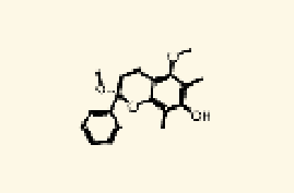 COc1c(C)c(O)c(C)c2c1CC[C@](OC)(c1ccccc1)O2